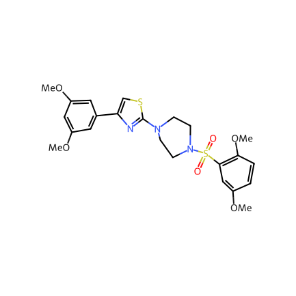 COc1cc(OC)cc(-c2csc(N3CCN(S(=O)(=O)c4cc(OC)ccc4OC)CC3)n2)c1